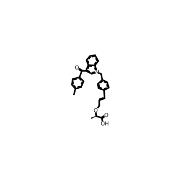 Cc1ccc(C(=O)c2cn(Cc3ccc(C=CCO[C@H](C)C(=O)O)cc3)c3ccccc23)cc1